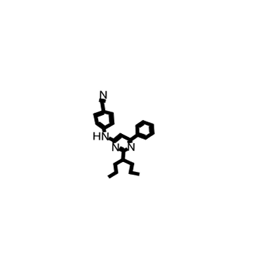 CCCC(CCC)c1nc(Nc2ccc(C#N)cc2)cc(-c2ccccc2)n1